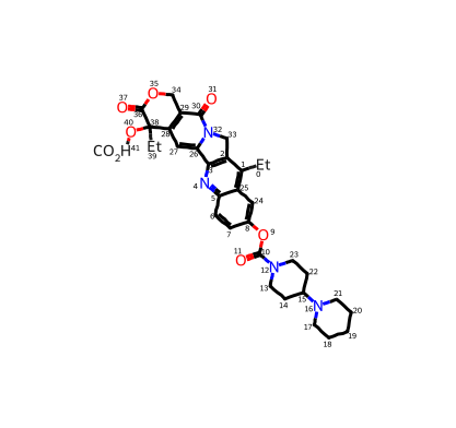 CCc1c2c(nc3ccc(OC(=O)N4CCC(N5CCCCC5)CC4)cc13)-c1cc3c(c(=O)n1C2)COC(=O)C3(CC)OC(=O)O